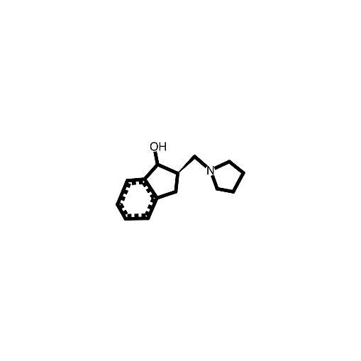 OC1c2ccccc2C[C@@H]1CN1CCCC1